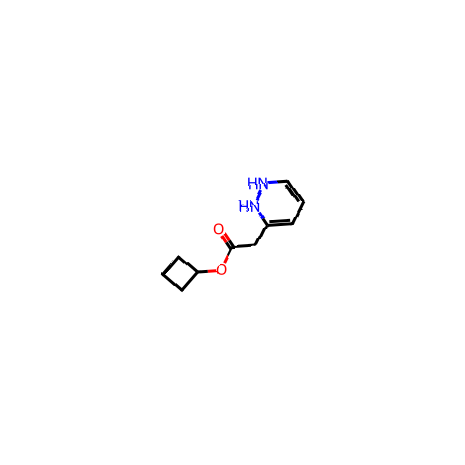 O=C(CC1=CC=CNN1)OC1CCC1